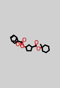 CC1(OC(=O)C2CCC(OC(=O)C3CC4C=CC3C4O)C2)CCCCC1